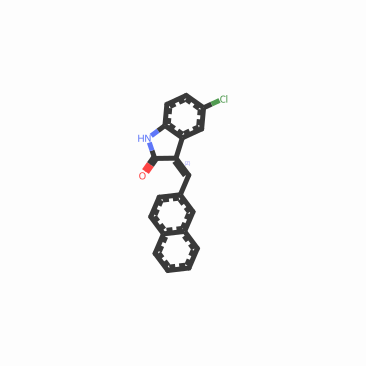 O=C1Nc2ccc(Cl)cc2/C1=C/c1ccc2ccccc2c1